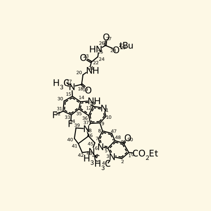 CCOC(=O)c1cn(C)c2ncc(-c3cnc4[nH]c5c(N(C)C(=O)CNC(=O)CNC(=O)OC(C)(C)C)cc(F)c(F)c5c4c3N3CCC4CN(C)CC43)cc2c1=O